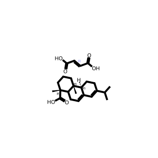 CC(C)C1=CC2=CCC3[C@](C)(C(=O)O)CCC[C@]3(C)[C@H]2CC1.O=C(O)/C=C/C(=O)O